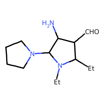 CCC1C(C=O)C(N)C(N2CCCC2)N1CC